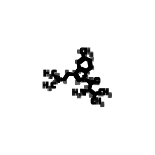 Cc1ccc2c(c1)c(CCN(C)C)cn2C(=O)[C@@H](N)C(C)C